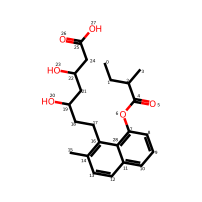 CCC(C)C(=O)Oc1cccc2ccc(C)c(CCC(O)CC(O)CC(=O)O)c12